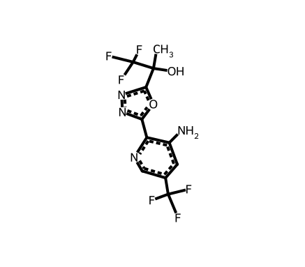 CC(O)(c1nnc(-c2ncc(C(F)(F)F)cc2N)o1)C(F)(F)F